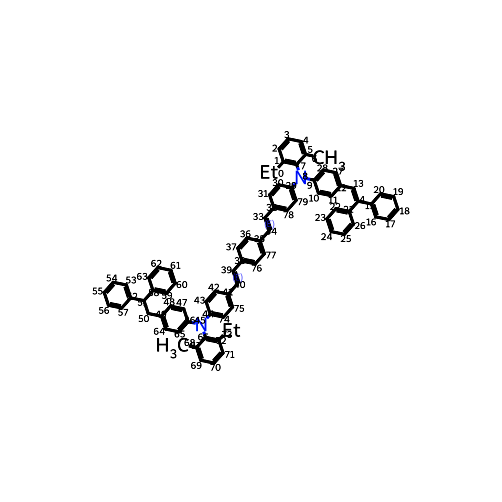 CCc1cccc(C)c1N(c1ccc(C=C(c2ccccc2)c2ccccc2)cc1)c1ccc(/C=C/c2ccc(/C=C/c3ccc(N(c4ccc(CC(c5ccccc5)c5ccccc5)cc4)c4c(C)cccc4CC)cc3)cc2)cc1